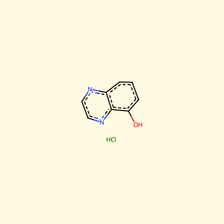 Cl.Oc1cccc2nccnc12